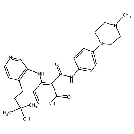 CN1CCN(c2ccc(NC(=O)c3c(Nc4cnccc4CCC(C)(C)O)cc[nH]c3=O)cc2)CC1